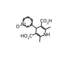 CC1=C(C(=O)O)C(c2ccc[n+]([O-])c2)C(C(=O)O)=C(C)N1